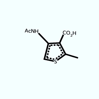 CC(=O)Nc1csc(C)c1C(=O)O